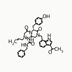 C=CCN1CC(=O)N2[C@@H](Cc3ccc(O)cc3)C(=O)N(Cc3cccc4c(C(C)=O)c[nH]c34)C[C@@H]2N1C(=O)NCc1ccccc1